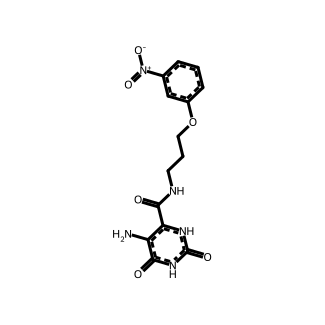 Nc1c(C(=O)NCCCOc2cccc([N+](=O)[O-])c2)[nH]c(=O)[nH]c1=O